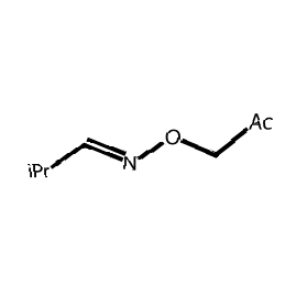 CC(=O)CON=CC(C)C